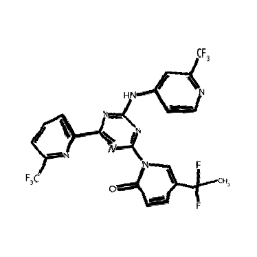 CC(F)(F)c1ccc(=O)n(-c2nc(Nc3ccnc(C(F)(F)F)c3)nc(-c3cccc(C(F)(F)F)n3)n2)c1